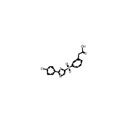 O=C(O)Cc1cccc(S(=O)(=O)c2cnc(-c3ccc(Cl)cc3)s2)c1